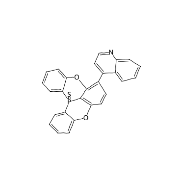 S=P12c3ccccc3Oc3ccc(-c4ccnc5ccccc45)c(c31)Oc1ccccc12